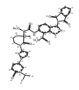 CC(=O)O[C@@H](C(=O)Nc1ccc2c(N3C(=O)c4ccccc4C3=O)nsc2c1C(N)=O)[C@@]1(C)OCCN(c2ccn(-c3ccc(=O)n(C(F)F)c3)n2)C1=O